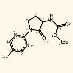 CC(C)(C)OC(=O)NC1CCN(c2ncc(F)cn2)C1=O